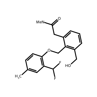 CNC(=O)Cc1cccc(CO)c1COc1ccc(C)cc1C(F)F